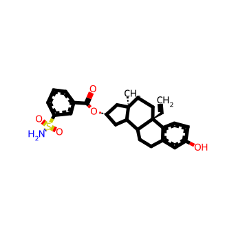 C=C[C@]12CC[C@]3(C)C[C@@H](OC(=O)c4cccc(S(N)(=O)=O)c4)CC3C1CCc1cc(O)ccc12